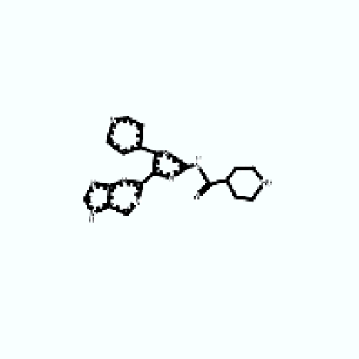 O=C(Nc1nc(-c2ncc3[nH]cnc3n2)c(-c2ccncc2)s1)C1CCNCC1